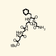 CC(C)(C)OC(=O)CC(N)C(=O)NCC(=O)NCC(=O)N[C@@H](Cc1ccccc1)C(=O)NCC(N)=O